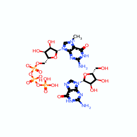 C[n+]1cn([C@@H]2O[C@H](COP(=O)([O-])OP(=O)(O)OP(=O)(O)O)[C@@H](O)[C@H]2O)c2nc(N)[nH]c(=O)c21.Nc1nc2c(ncn2[C@@H]2O[C@H](CO)[C@@H](O)[C@H]2O)c(=O)[nH]1